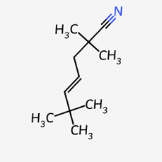 CC(C)(C)/C=C/CC(C)(C)C#N